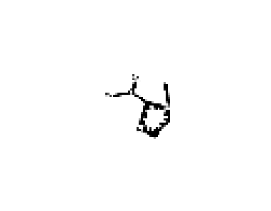 CCN(CC)c1nccn1C